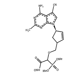 COC(=O)C(OCC1C=C[C@H](n2cc(C#N)c3c(N)nc(C)nc32)C1)P(=O)(OC)OC